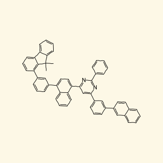 CC1(C)c2ccccc2-c2cccc(-c3cccc(-c4ccc(-c5cc(-c6cccc(-c7ccc8ccccc8c7)c6)nc(-c6ccccc6)n5)c5ccccc45)c3)c21